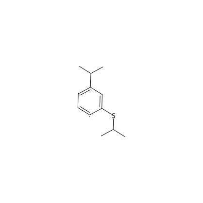 CC(C)Sc1[c]ccc(C(C)C)c1